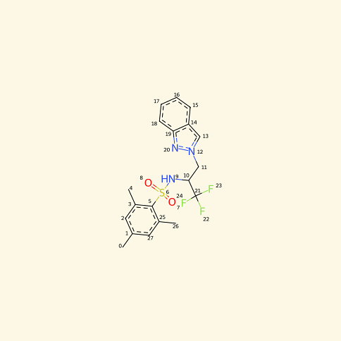 Cc1cc(C)c(S(=O)(=O)NC(Cn2cc3ccccc3n2)C(F)(F)F)c(C)c1